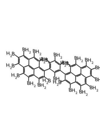 Bc1c(B)c(-c2c(B)c(B)c3c(B)c(B)c4c(B)c(B)c(B)c5c(B)c(B)c2c3c45)c(B)c(-c2c(B)c(B)c3c(B)c(B)c4c(B)c(B)c(B)c5c(B)c(B)c2c3c45)c1B